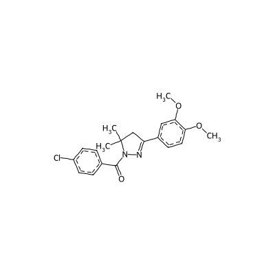 COc1ccc(C2=NN(C(=O)c3ccc(Cl)cc3)C(C)(C)C2)cc1OC